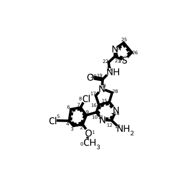 COc1cc(Cl)cc(Cl)c1-c1nc(N)nc2c1CN(C(=O)NCc1nccs1)C2